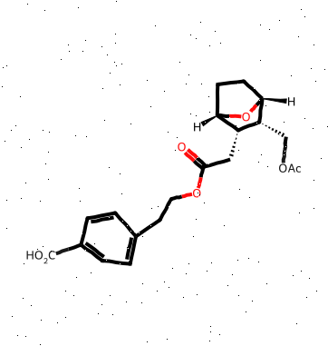 CC(=O)OC[C@@H]1[C@H](CC(=O)OCCc2ccc(C(=O)O)cc2)[C@@H]2CC[C@H]1O2